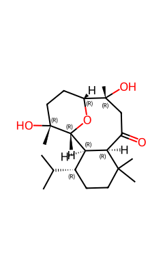 CC(C)[C@H]1CCC(C)(C)[C@@H]2C(=O)C[C@@](C)(O)[C@H]3CC[C@@](C)(O)[C@H](O3)[C@H]12